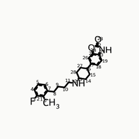 Cc1c(F)cccc1CCCCNC1CCC(c2ccc3[nH]c(=O)oc3c2)CC1